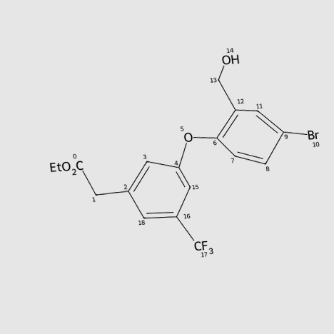 CCOC(=O)Cc1cc(Oc2ccc(Br)cc2CO)cc(C(F)(F)F)c1